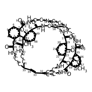 COc1c2cccc1C(=O)NCCN1CCNC(=O)c3cccc(c3OC)C(=O)NCCC3/C=C/C(CCNC2=O)CCNC(=O)c2cccc(c2OC)C(=O)NCCN(CCNC(=O)c2cccc(c2OC)C(=O)NCC3)CC1